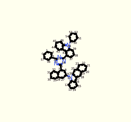 c1ccc(-c2nc(-c3cc(-n4c5ccccc5c5cc6ccccc6cc54)cc4ccccc34)nc(-c3cccc4c3c3ccccc3n4-c3ccccc3)n2)cc1